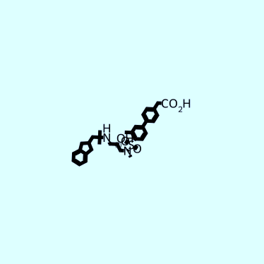 Cc1cc(-c2ccc(CC(=O)O)cc2)ccc1S(=O)(=O)N(C)C[C@H](O)CNC(C)(C)CC1Cc2ccccc2C1